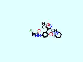 Cc1noc(C)c1-c1cc(NC(=O)[C@@H]2C[C@@H]2F)ccc1OC[C@H]1CCCCN1